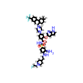 Cc1cc(C(F)(F)F)ccc1C1=C(CN2CCN(c3ccc(C(=O)NS(=O)(=O)c4ccc(NCCC5CCN(CCF)CC5)c(N)c4)c(Oc4cnc5[nH]ccc5c4)c3)CC2)CCC(C)(C)C1